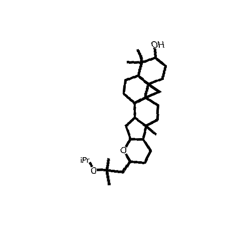 CC(C)OC(C)(C)CC1CCC2C(CC3C4CCC5C(C)(C)C(O)CCC56CC46CCC23C)O1